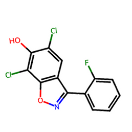 Oc1c(Cl)cc2c(-c3ccccc3F)noc2c1Cl